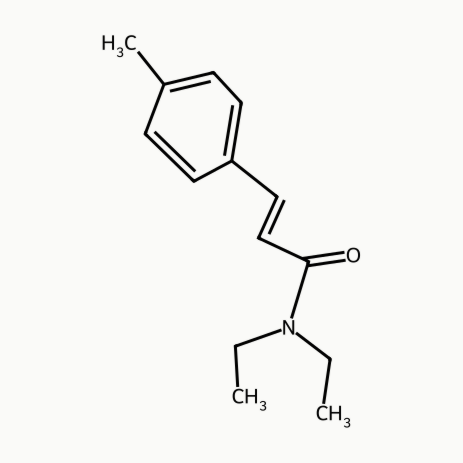 CCN(CC)C(=O)C=Cc1ccc(C)cc1